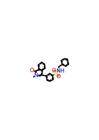 Cn1cc(-c2cccc(S(=O)(=O)NCc3ccccc3)c2)c2ccccc2c1=O